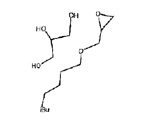 CCC(C)CCCCOCC1CO1.OCC(O)CO